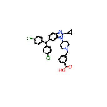 O=C(O)c1cccc(CN2CCC(n3c(C4CC4)nc4ccc(C(c5ccc(Cl)cc5)c5ccc(Cl)cc5)cc43)CC2)c1